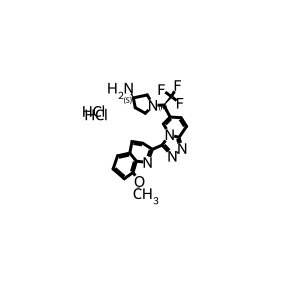 COc1cccc2ccc(-c3nnc4ccc([C@@H](N5CC[C@H](N)C5)C(F)(F)F)cn34)nc12.Cl.Cl